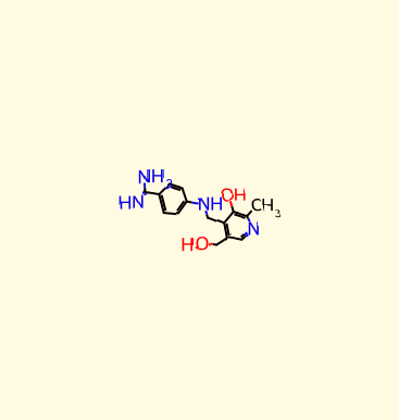 Cc1ncc(CO)c(CNc2ccc(C(=N)N)cc2)c1O